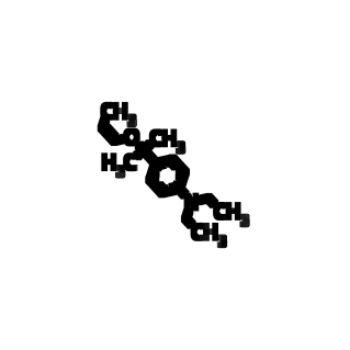 C/C=C\OC(C)(C)c1ccc(N(CC)CC)cc1